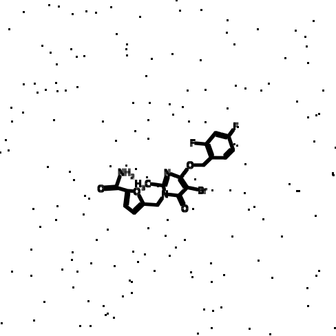 Cc1nc(OCc2ccc(F)cc2F)c(Br)c(=O)n1Cc1ccc(C(N)=O)o1